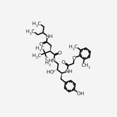 CCC(CC)NC(=O)C[C@@H](C(=O)NC[C@@H](O)[C@H](Cc1ccc(O)cc1)NC(=O)COc1c(C)cccc1C)C(C)(C)C